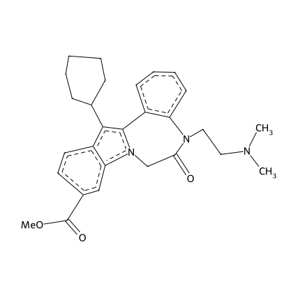 COC(=O)c1ccc2c(C3CCCCC3)c3n(c2c1)CC(=O)N(CCN(C)C)c1ccccc1-3